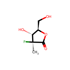 C[C@@]1(F)C(=O)O[C@H](CO)[C@H]1O